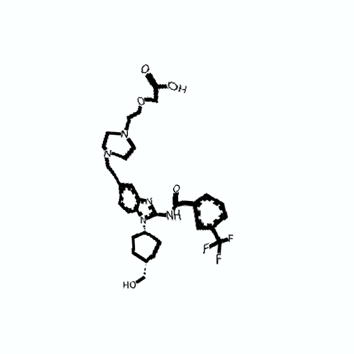 O=C(O)COCCN1CCN(Cc2ccc3c(c2)nc(NC(=O)c2cccc(C(F)(F)F)c2)n3[C@H]2CC[C@@H](CO)CC2)CC1